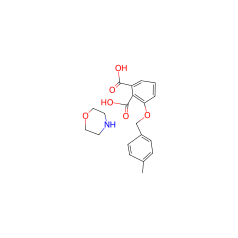 C1COCCN1.Cc1ccc(COc2cccc(C(=O)O)c2C(=O)O)cc1